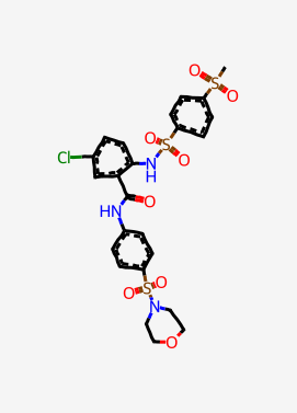 CS(=O)(=O)c1ccc(S(=O)(=O)Nc2ccc(Cl)cc2C(=O)Nc2ccc(S(=O)(=O)N3CCOCC3)cc2)cc1